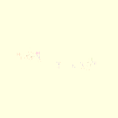 Nc1c(Cl)cc(C(=O)NC2CCN(CCCCCC(=O)NCCCCCCCC(=O)NC[C@H](O)[C@@H](O)[C@H](O)[C@H](O)CO)CC2)c2c1CCO2